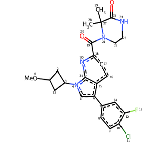 COC1CC(n2cc(-c3ccc(Cl)c(F)c3)c3ccc(C(=O)N4CCNC(=O)C4(C)C)nc32)C1